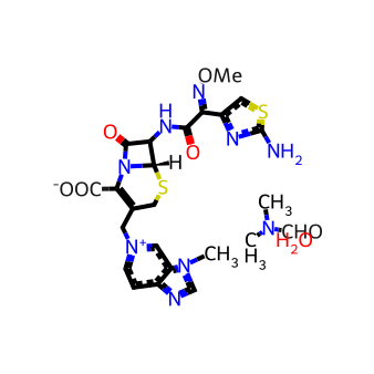 CN(C)C=O.CON=C(C(=O)NC1C(=O)N2C(C(=O)[O-])=C(C[n+]3ccc4ncn(C)c4c3)CS[C@@H]12)c1csc(N)n1.O